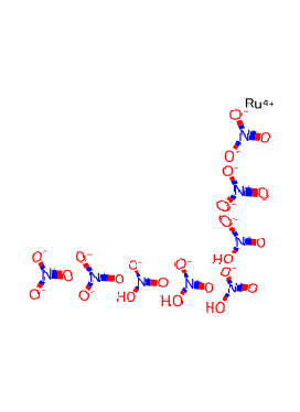 O=[N+]([O-])O.O=[N+]([O-])O.O=[N+]([O-])O.O=[N+]([O-])O.O=[N+]([O-])[O-].O=[N+]([O-])[O-].O=[N+]([O-])[O-].O=[N+]([O-])[O-].[Ru+4]